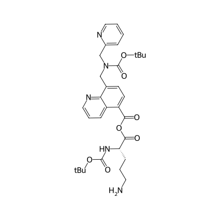 CC(C)(C)OC(=O)N[C@@H](CCCN)C(=O)OC(=O)c1ccc(CN(Cc2ccccn2)C(=O)OC(C)(C)C)c2ncccc12